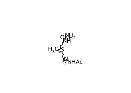 CC(=O)Nc1nc(CCc2cc(C)c(CCCNC(=O)NN)s2)cs1